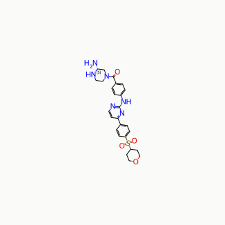 N[C@@H]1CN(C(=O)c2ccc(Nc3nccc(-c4ccc(S(=O)(=O)C5CCOCC5)cc4)n3)cc2)CCN1